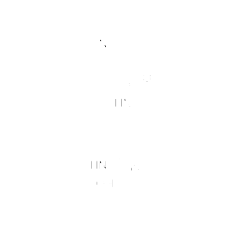 CC(CNC(=O)c1cccnc1)CC(=O)NO